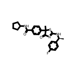 C[C@H](NC1=NC(=O)C(C)(c2ccc(C(=O)NC3CCCC3)cc2)S1)c1ccc(F)cc1